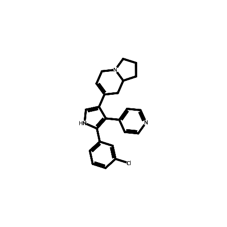 Clc1cccc(-c2[nH]cc(C3=CCN4CCCC4C3)c2-c2ccncc2)c1